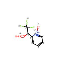 [O-][n+]1ccccc1C(O)C(F)(F)F